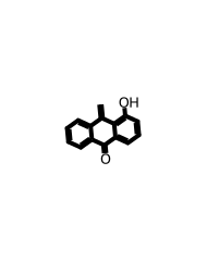 C=C1c2ccccc2C(=O)c2cccc(O)c21